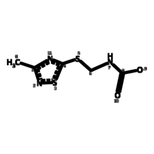 Cc1nsc(SCNC([O])=O)n1